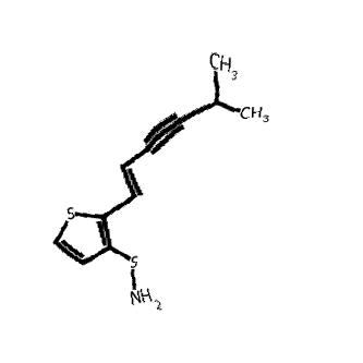 CC(C)C#CC=Cc1sccc1SN